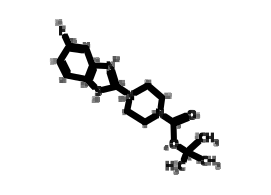 CC(C)(C)OC(=O)N1CCN(c2nc3cc(F)ccc3s2)CC1